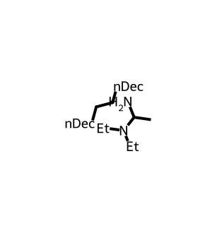 CCCCCCCCCCCCCCCCCCCCCC.CCN(CC)C(C)N